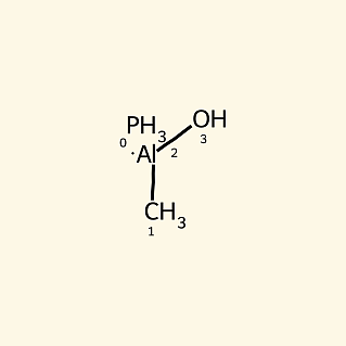 P.[CH3][Al][OH]